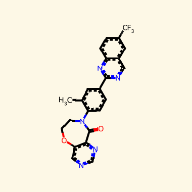 Cc1cc(-c2ncc3cc(C(F)(F)F)ccc3n2)ccc1N1CCOc2cncnc2C1=O